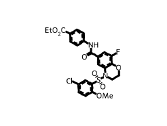 CCOC(=O)c1ccc(NC(=O)c2cc(F)c3c(c2)N(S(=O)(=O)c2cc(Cl)ccc2OC)CCO3)cc1